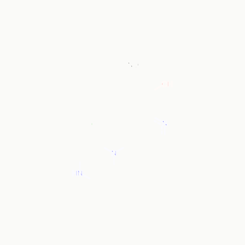 O=[N+]([O-])c1cc(Cl)c2c(N3CCNCC3)ccnc2c1O